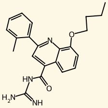 CCCCOc1cccc2c(C(=O)NC(=N)N)cc(-c3ccccc3C)nc12